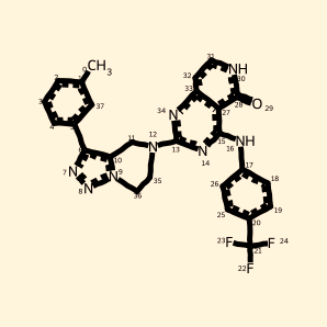 Cc1cccc(-c2nnn3c2CN(c2nc(Nc4ccc(C(F)(F)F)cc4)c4c(=O)[nH]ccc4n2)CC3)c1